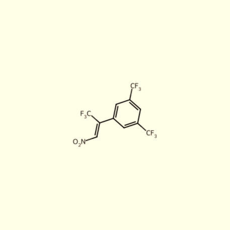 O=[N+]([O-])C=C(c1cc(C(F)(F)F)cc(C(F)(F)F)c1)C(F)(F)F